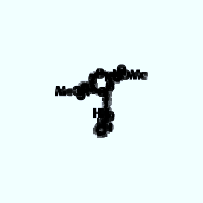 COC(=O)c1cccc(CN2CCOCCOCCN(Cc3cccc(C(=O)OC)n3)CCO[C@H](CSCCCCCNC(=O)OC[C@H]3[C@@H]4CCC#CCC[C@@H]43)COCC2)n1